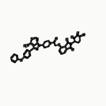 Nc1ncnc2c1c(-c1ccc(Oc3ccccc3)cc1)nn2C1CCN(C(=O)CSc2cccc3c2C(=O)N(C2CCC(=O)NC2=O)C3=O)CC1